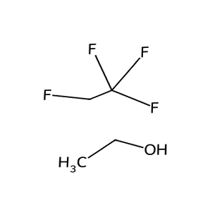 CCO.FCC(F)(F)F